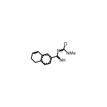 CN/C(Cl)=N\C(=N)c1ccc2c(c1)C=CCC2